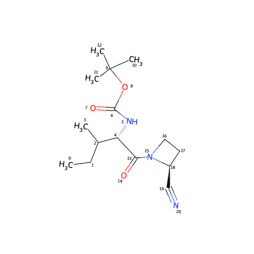 CCC(C)[C@H](NC(=O)OC(C)(C)C)C(=O)N1CC[C@H]1C#N